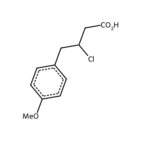 COc1ccc(CC(Cl)CC(=O)O)cc1